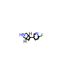 Fc1ccc(C2=C[C@@H]3CNC[C@H]23)cn1